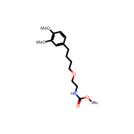 COc1ccc(CCCCOCCNC(=O)OC(C)(C)C)cc1OC